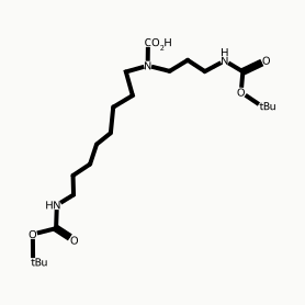 CC(C)(C)OC(=O)NCCCCCCCCN(CCCNC(=O)OC(C)(C)C)C(=O)O